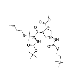 C=CCCSC(C)(C)[C@H](NC(=O)OC(C)(C)C)C(=O)N1C[C@H](NC(=O)OCC[Si](C)(C)C)C[C@H]1C(=O)OC